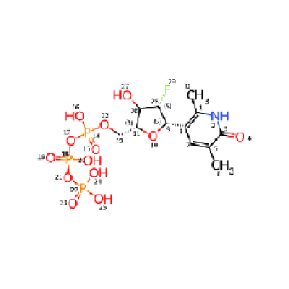 Cc1[nH]c(=O)c(C)cc1[C@@H]1O[C@H](COP(=O)(O)OP(=O)(O)OP(=O)(O)O)C(O)[C@@H]1F